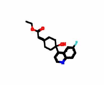 CCOC(=O)C=C1CCC(O)(c2ccnc3ccc(F)cc23)CC1